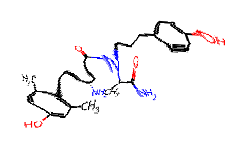 Cc1cc(O)cc(C)c1C[C@@H](N)C(=O)N(CCCc1ccc(O)cc1)[C@H](C)C(N)=O